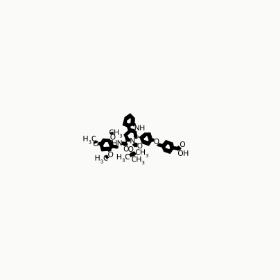 COc1cc(OC)c(CNC(=O)[C@H]2Cc3c([nH]c4ccccc34)[C@H](c3ccc(OCc4ccc(C(=O)O)cc4)cc3)N2C(=O)OC(C)(C)C)c(OC)c1